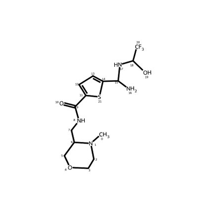 CN1CCOCC1CNC(=O)c1ccc(C(N)NC(O)C(F)(F)F)s1